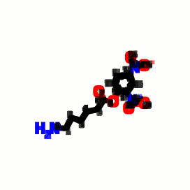 NCCCCCC(=O)Oc1ccc([N+](=O)[O-])cc1[N+](=O)[O-]